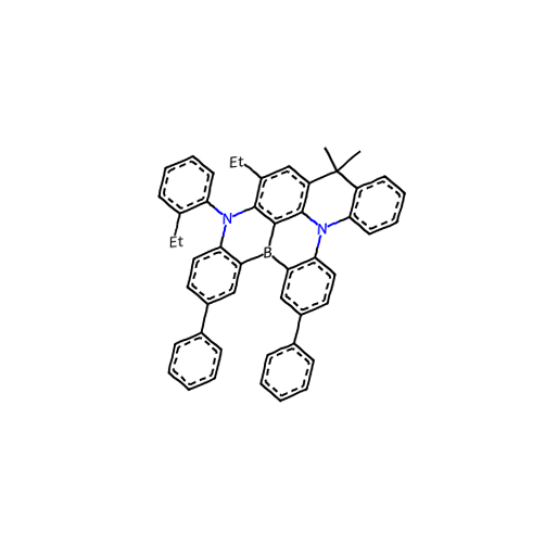 CCc1ccccc1N1c2ccc(-c3ccccc3)cc2B2c3cc(-c4ccccc4)ccc3N3c4ccccc4C(C)(C)c4cc(CC)c1c2c43